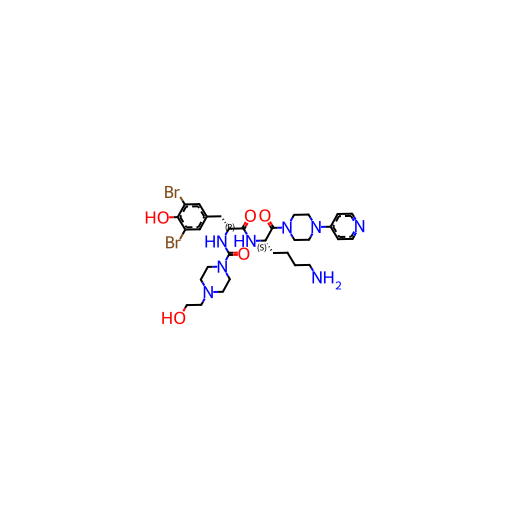 NCCCC[C@H](NC(=O)[C@@H](Cc1cc(Br)c(O)c(Br)c1)NC(=O)N1CCN(CCO)CC1)C(=O)N1CCN(c2ccncc2)CC1